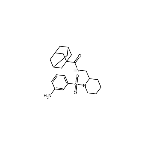 Nc1cccc(S(=O)(=O)N2CCCCC2CNC(=O)C23CC4CC(CC(C4)C2)C3)c1